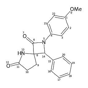 COc1ccc(N2C(=O)C3(CCC(=O)N3)C2c2ccccc2)cc1